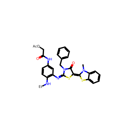 CCNc1ccc(NC(=O)COC(C)=O)cc1N=C1S/C(=C2\Sc3ccccc3N2C)C(=O)N1Cc1ccccc1